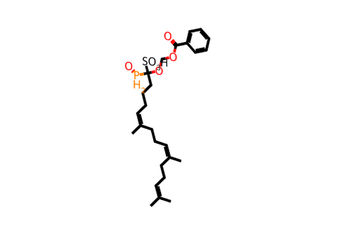 CC(C)=CCCC(C)=CCCC(C)=CCCCC(OCOC(=O)c1ccccc1)([PH2]=O)S(=O)(=O)O